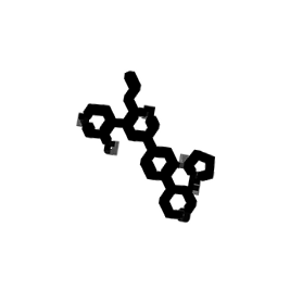 C=CCc1ncc(-c2ccc(C3CCOCC3)c([C@@H]3CCCN3)c2)cc1-c1ccncc1Cl